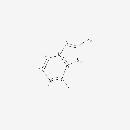 Cc1cc2ccnc(C)c2s1